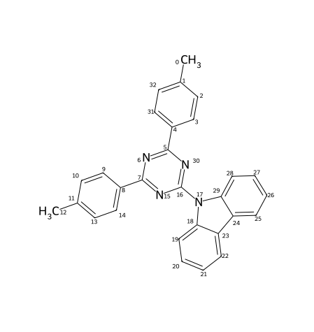 Cc1ccc(-c2nc(-c3ccc(C)cc3)nc(-n3c4ccccc4c4ccccc43)n2)cc1